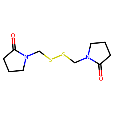 O=C1CCCN1CSSCN1CCCC1=O